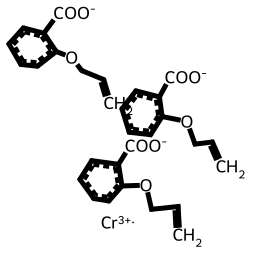 C=CCOc1ccccc1C(=O)[O-].C=CCOc1ccccc1C(=O)[O-].C=CCOc1ccccc1C(=O)[O-].[Cr+3]